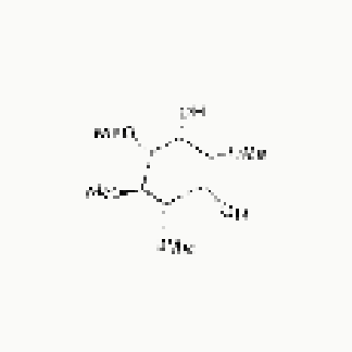 COC[C@@H](O)[C@@H](OC)[C@H](OC)[C@H](CO)OC